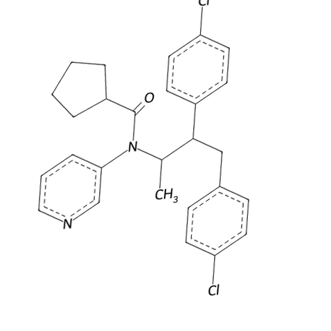 CC(C(Cc1ccc(Cl)cc1)c1ccc(Cl)cc1)N(C(=O)C1CCCC1)c1cccnc1